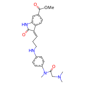 COC(=O)c1ccc2c(c1)NC(=O)C2=CCCNc1ccc(N(C)C(=O)CN(C)C)cc1